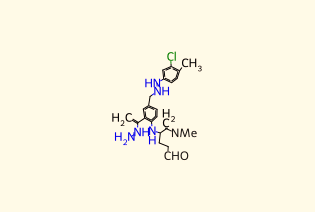 C=C(NN)c1cc(CNNc2ccc(C)c(Cl)c2)ccc1NC(CCC=O)C(=C)NC